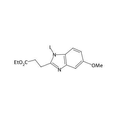 CCOC(=O)CCc1nc2cc(OC)ccc2n1I